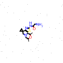 C[C@@H]1CN(CC2(c3csc(NC(=O)CN)n3)CC2)C[C@H](C)O1